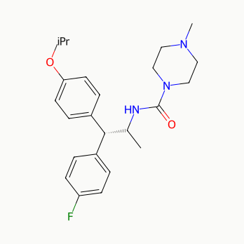 CC(C)Oc1ccc([C@@H](c2ccc(F)cc2)C(C)NC(=O)N2CCN(C)CC2)cc1